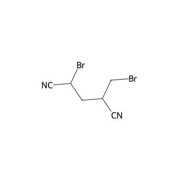 N#CC(Br)CC(C#N)CBr